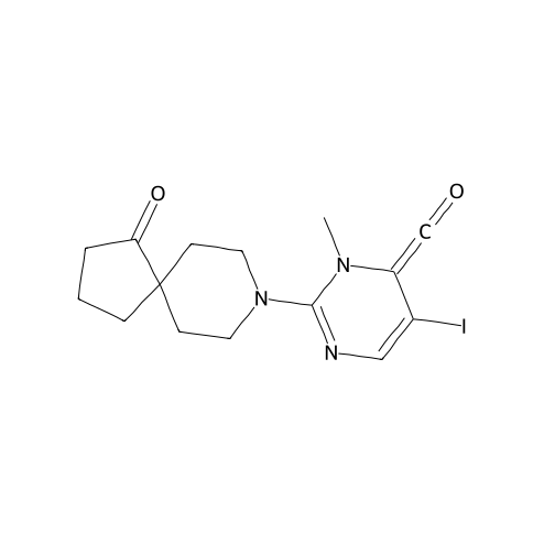 CN1C(=C=O)C(I)=CN=C1N1CCC2(CCCC2=O)CC1